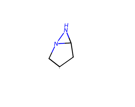 [CH]1CC2NN2C1